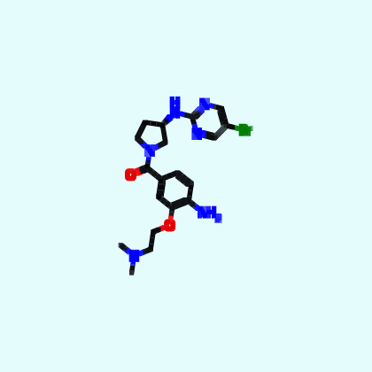 CN(C)CCOc1cc(C(=O)N2CC[C@@H](Nc3ncc(Br)cn3)C2)ccc1N